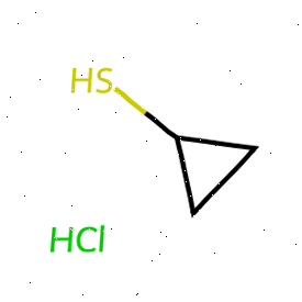 Cl.SC1CC1